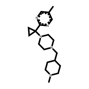 Cc1cnc(C2(N3CCN(CC4CCN(C)CC4)CC3)CC2)nc1